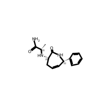 C[C@H](N[C@H]1CC=C[C@@H](c2ccccc2)NC1=O)C(N)=O